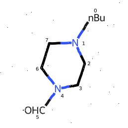 CCCCN1CCN([C]=O)CC1